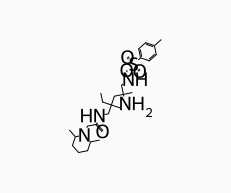 CCC(C)(CNC(=O)CN1C(C)CCCC1C)CC(C)(N)CNOS(=O)(=O)c1ccc(C)cc1